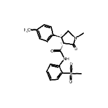 CN1C[C@H](c2ccc(C(F)(F)F)cc2)[C@@H](C(=O)Nc2ccccc2S(C)(=O)=O)C1=O